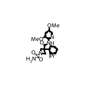 COc1cnc(NC(=O)C2(c3ccccc3C(C)C)CN(S(N)(=O)=O)C2)c(OC)c1